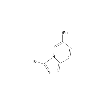 CC(C)(C)c1ccc2cnc(Br)n2c1